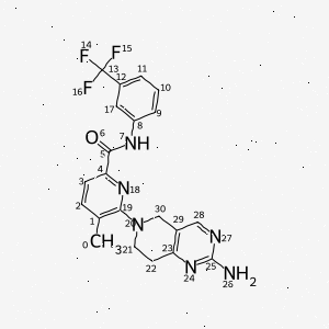 Cc1ccc(C(=O)Nc2cccc(C(F)(F)F)c2)nc1N1CCc2nc(N)ncc2C1